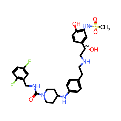 CS(=O)(=O)Nc1cc([C@H](O)CNCCc2ccc(NC3CCN(C(=O)NCc4cc(F)ccc4F)CC3)cc2)ccc1O